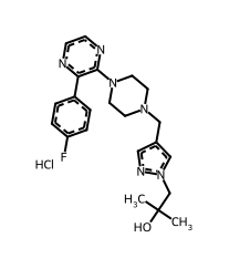 CC(C)(O)Cn1cc(CN2CCN(c3nccnc3-c3ccc(F)cc3)CC2)cn1.Cl